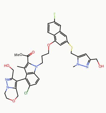 COC(=O)c1c(C)c2c(-c3c(CO)nn4c3COCC4)c(Cl)ccc2n1CCCOc1cc(SCc2cc(CO)nn2C)cc2cc(F)ccc12